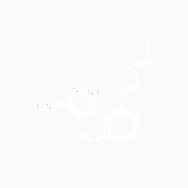 CCCCOc1cccc(OC)c1-c1cc(N)n[nH]1